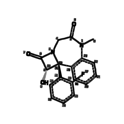 CN1C(=O)CN2C(=O)[C@@H](O)[C@@]2(c2ccccc2F)c2ccccc21